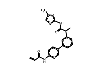 C=CC(=O)Nc1ccc(-c2cccc(C(C)C(=O)Nc3ncc(C(F)(F)F)s3)c2)cn1